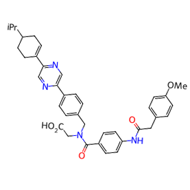 COc1ccc(CC(=O)Nc2ccc(C(=O)N(CC(=O)O)Cc3ccc(-c4cnc(C5=CCC(C(C)C)CC5)cn4)cc3)cc2)cc1